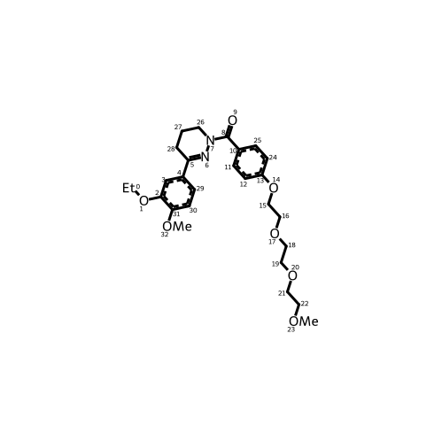 CCOc1cc(C2=NN(C(=O)c3ccc(OCCOCCOCCOC)cc3)CCC2)ccc1OC